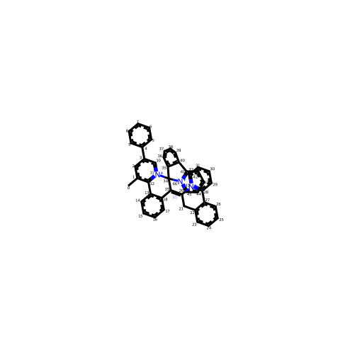 Cc1cc(-c2ccccc2)c[n+]2c1-c1ccccc1/C(=C1\Cc3ccccc3-c3cccc[n+]31)C21c2ccccc2-c2cccc[n+]21